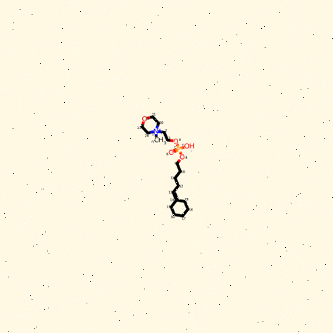 C[N+]1(CCOP(=O)(O)OCCCCC=C2CCCCC2)CCOCC1